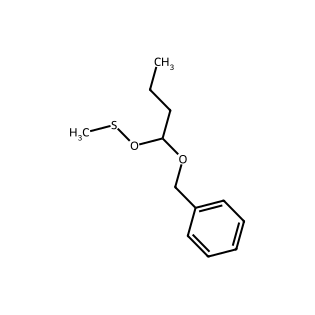 CCCC(OCc1ccccc1)OSC